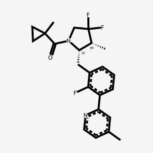 Cc1ccnc(-c2cccc(C[C@H]3[C@@H](C)C(F)(F)CN3C(=O)C3(C)CC3)c2F)c1